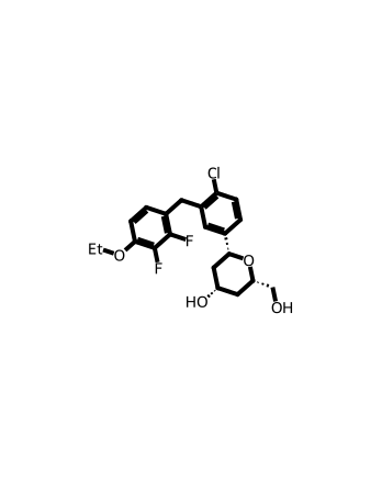 CCOc1ccc(Cc2cc([C@H]3C[C@@H](O)C[C@@H](CO)O3)ccc2Cl)c(F)c1F